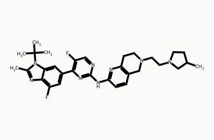 Cc1nc2c(F)cc(-c3nc(Nc4ccc5c(n4)CCN(CCN4CCC(C)C4)C5)ncc3F)cc2n1C(C)(C)C